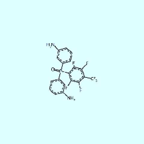 Nc1cccc(P(=O)(c2cccc(N)c2)c2c(F)c(F)c(C(F)(F)F)c(F)c2F)c1